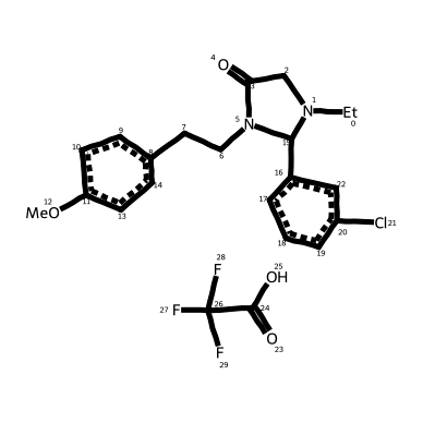 CCN1CC(=O)N(CCc2ccc(OC)cc2)C1c1cccc(Cl)c1.O=C(O)C(F)(F)F